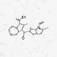 CCCn1c(C)cc2cc(C(=O)C3=C(C)C(NCC)c4ccccc43)sc21